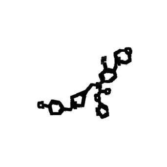 O=C(Oc1cccs1)N(CC1C2CN(Cc3ccc(Cl)cc3)CC21)c1ccc(N2CCOCC2)c(F)c1